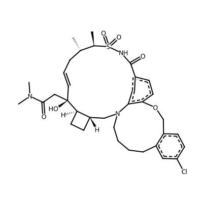 C[C@@H]1[C@@H](C)C/C=C/[C@@](O)(CC(=O)N(C)C)[C@@H]2CC[C@H]2CN2CCCCc3cc(Cl)ccc3COc3ccc(cc32)C(=O)NS1(=O)=O